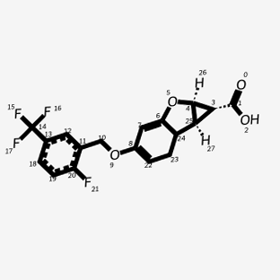 O=C(O)[C@H]1[C@@H]2OC3=CC(OCc4cc(C(F)(F)F)ccc4F)=CCC3[C@@H]21